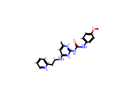 COc1ccc(NC(=O)Nc2nc(C)cc(NCCc3ccccn3)n2)cc1